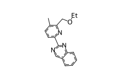 CCOCc1nc(-c2ncc3ccccc3n2)ccc1C